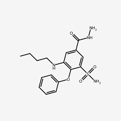 CCCCNc1cc(C(=O)NN)cc(S(N)(=O)=O)c1Oc1ccccc1